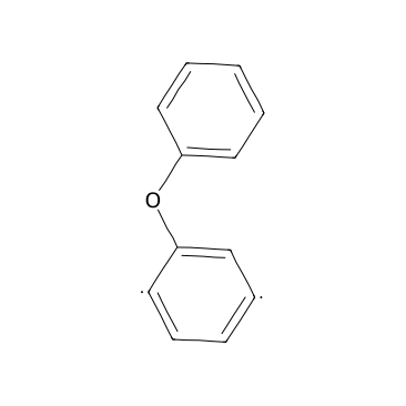 [c]1cc[c]c(Oc2ccccc2)c1